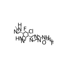 Cc1ncc(-c2c(F)c(Cl)c(-c3cn4cc(NC(=O)[C@@H]5C[C@@H]5F)nc4cn3)c3cn[nH]c23)[nH]1